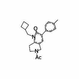 CC(=O)N1CCc2c(cc(-c3ccc(C)cc3)c(=O)n2CC2CCC2)C1